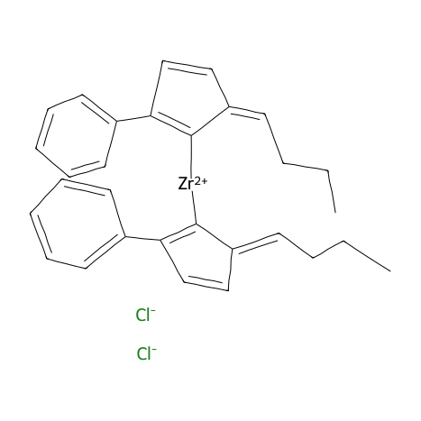 CCCC=C1C=CC(c2ccccc2)=[C]1[Zr+2][C]1=C(c2ccccc2)C=CC1=CCCC.[Cl-].[Cl-]